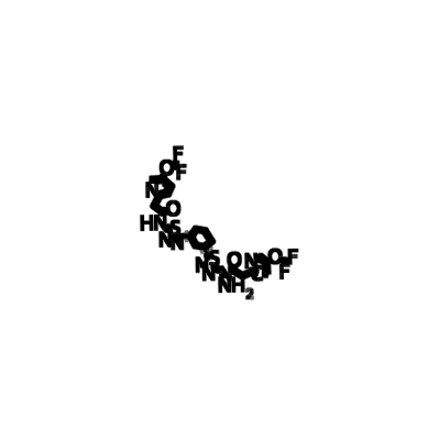 NN(C(=O)Cc1ccc(OC(F)F)cn1)c1nnc([C@H]2CCC[C@H](c3nnc(NC(=O)Cc4ccc(OC(F)F)cn4)s3)C2)s1